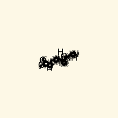 COc1cc2nccc(Cc3ccc(Nc4ncccc4C(=O)NCc4ccncc4)cc3)c2cc1OC